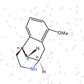 COc1cccc2c1C[C@H]1NCC[C@@]23CCCC[C@@H]13